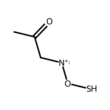 CC(=O)C[N+]OS